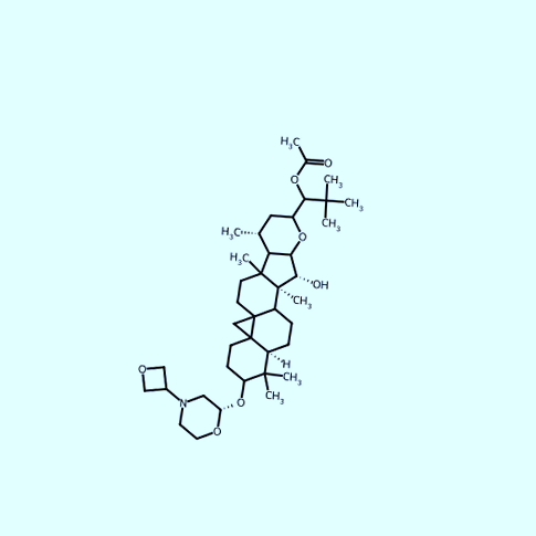 CC(=O)OC(C1C[C@@H](C)C2C(O1)[C@H](O)[C@@]1(C)C3CC[C@H]4C(C)(C)C(O[C@H]5CN(C6COC6)CCO5)CCC45CC35CCC21C)C(C)(C)C